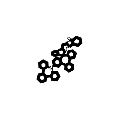 c1ccc2c(c1)-c1ccccc1N(c1ccc3c(c1)-c1ccccc1-c1ccccc1C31c3ccccc3-c3cc4sc5ccccc5c4cc31)c1ccccc1-2